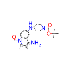 C[C@@H]1[C@@H](N)c2cc(NC3CCN(C(=O)OC(C)(C)C)CC3)ccc2N(C=O)[C@H]1C